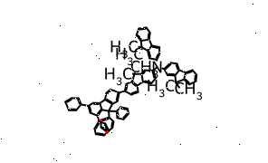 CC1(C)c2ccccc2-c2ccc(N(c3ccc4c(c3)C(C)(C)c3ccccc3-4)c3ccc4c(c3)C(C)(C)c3cc(-c5ccc6c(c5)C(c5ccccc5)(c5ccccc5)c5c(-c7ccccc7)cc(-c7ccccc7)cc5-6)ccc3-4)cc21